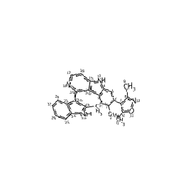 COc1cc2c(cc1-c1c(C)noc1C)[nH]c1ccnc(-c3c(C)[nH]c4ccccc34)c12